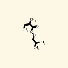 CC=C(C)C(=O)OOCC(C)C